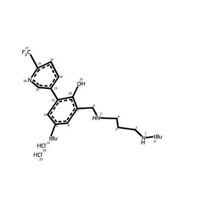 CC(C)(C)NCCCNCc1cc(C(C)(C)C)cc(-c2ccc(C(F)(F)F)nc2)c1O.Cl.Cl